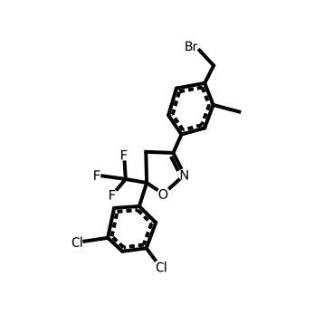 Cc1cc(C2=NOC(c3cc(Cl)cc(Cl)c3)(C(F)(F)F)C2)ccc1CBr